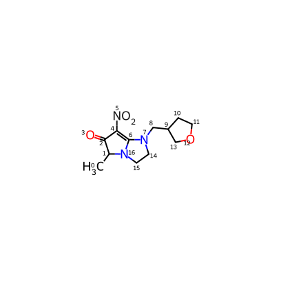 CC1C(=O)C([N+](=O)[O-])=C2N(CC3CCOC3)CCN21